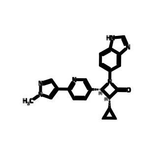 Cn1cc(-c2ccc([C@H]3[C@@H](C4CC4)C(=O)N3c3ccc4[nH]cnc4c3)cn2)cn1